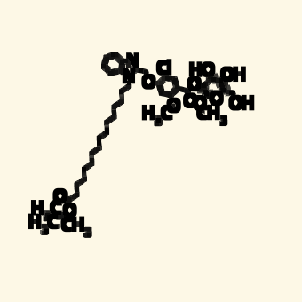 COc1cc(OCc2nc3ccccc3n2CCCCCCCCCCCCCCCC(=O)OC(C)(C)C)c(Cl)cc1C(=O)O[C@H]1[C@@H](OC)O[C@H](CO)[C@@H](O)[C@@H]1O